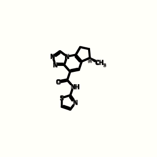 C[C@@H]1CCc2c1cc(C(=O)Nc1nccs1)c1nncn21